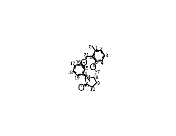 Cc1cccc(OC[C@@H]2CCC(=O)N2c2ccccc2)c1C=O